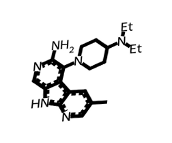 CCN(CC)C1CCN(c2c(N)ncc3[nH]c4ncc(C)cc4c23)CC1